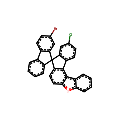 Clc1ccc2c(c1)C1(c3ccccc3-c3ccc(Br)cc31)c1ccc3oc4ccccc4c3c1-2